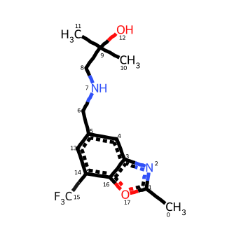 Cc1nc2cc(CNCC(C)(C)O)cc(C(F)(F)F)c2o1